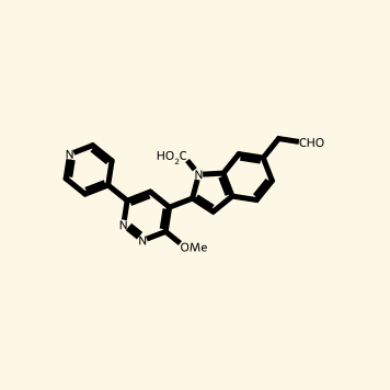 COc1nnc(-c2ccncc2)cc1-c1cc2ccc(CC=O)cc2n1C(=O)O